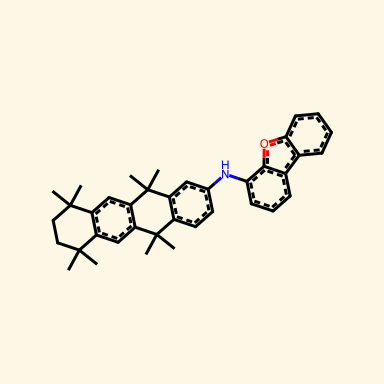 CC1(C)CCC(C)(C)c2cc3c(cc21)C(C)(C)c1ccc(Nc2cccc4c2oc2ccccc24)cc1C3(C)C